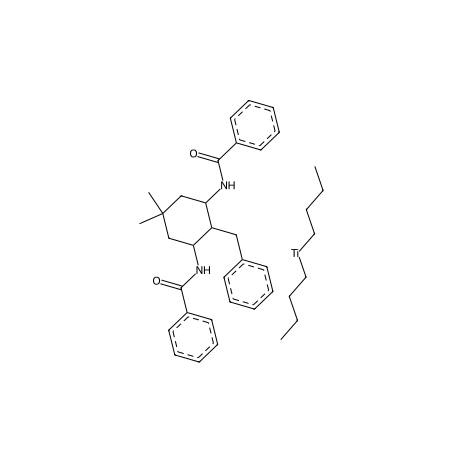 CC1(C)CC(NC(=O)c2ccccc2)C(Cc2ccccc2)C(NC(=O)c2ccccc2)C1.CCC[CH2][Ti][CH2]CCC